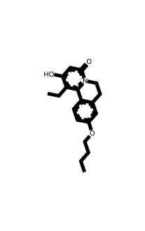 CCCCOc1ccc2c(c1)CCn1c-2c(CC)c(O)cc1=O